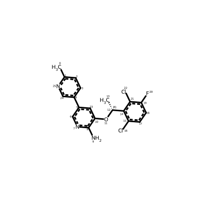 Cc1ccc(-c2cnc(N)c(O[C@H](C)c3c(Cl)ccc(F)c3Cl)c2)cn1